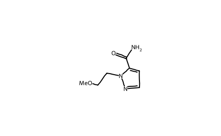 COCCn1nccc1C(N)=O